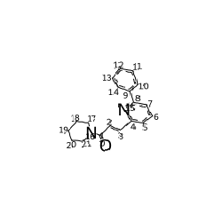 O=C(/C=C/c1cccc(-c2ccccc2)n1)N1CCCCC1